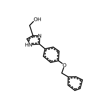 OCc1c[nH]c(-c2ccc(OCc3ccccc3)cc2)n1